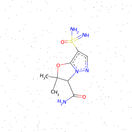 CC1(C)Oc2c(S(=N)(N)=O)cnn2C1C(N)=O